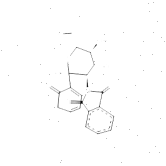 O=C1c2ccccc2C(=O)N1[C@@H]1[C@@H](O)[C@H](O)[C@@H](CO)O[C@]1(O)C1=CC=CCC1=S